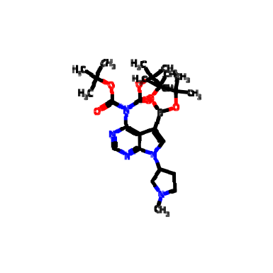 CN1CCC(n2cc(B3OC(C)(C)C(C)(C)O3)c3c(N(C(=O)OC(C)(C)C)C(=O)OC(C)(C)C)ncnc32)C1